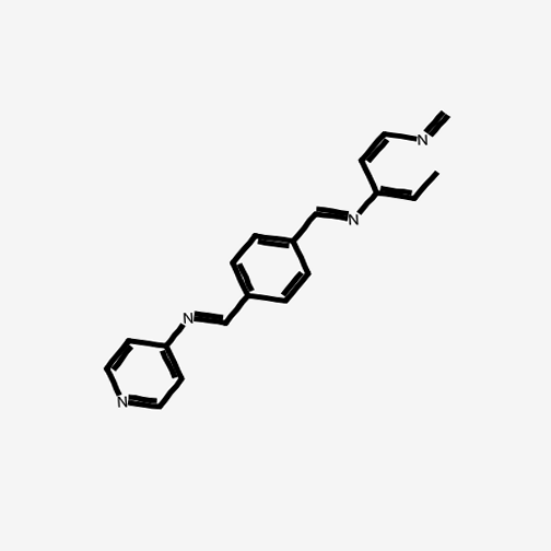 C=N\C=C/C(=C\C)/N=C/c1ccc(/C=N/c2ccncc2)cc1